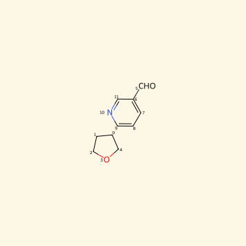 C1CCOC1.O=Cc1cccnc1